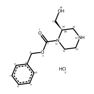 Cl.O=C(OCc1ccccc1)N1CCNC[C@@H]1CO